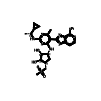 CCCc1nccc2sc(-c3c(C)nc(N[C@H](C)C4CC4)nc3N[C@@H]3C[C@H](CS(C)(=O)=O)[C@@H](O)[C@H]3O)nc12